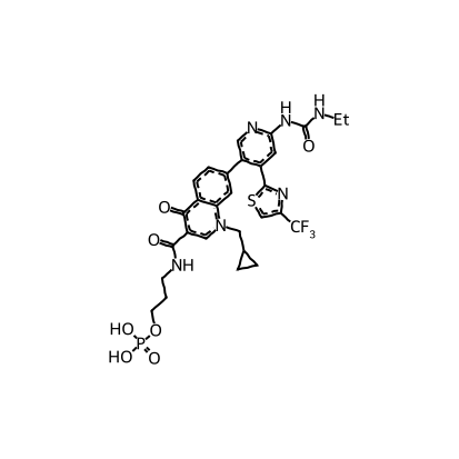 CCNC(=O)Nc1cc(-c2nc(C(F)(F)F)cs2)c(-c2ccc3c(=O)c(C(=O)NCCCOP(=O)(O)O)cn(CC4CC4)c3c2)cn1